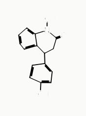 Cc1ccc(C2CC(=O)N(C)c3ccccc32)cc1